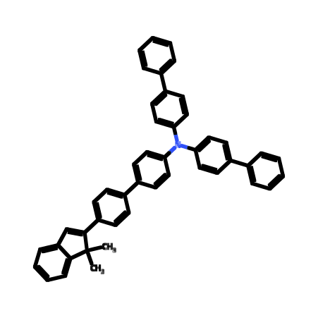 CC1(C)C(c2ccc(-c3ccc(N(c4ccc(-c5ccccc5)cc4)c4ccc(-c5ccccc5)cc4)cc3)cc2)=Cc2ccccc21